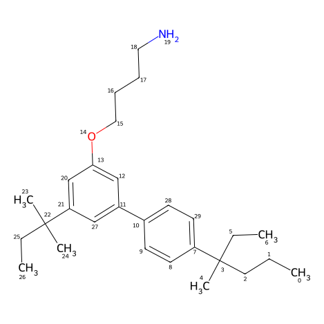 CCCC(C)(CC)c1ccc(-c2cc(OCCCCN)cc(C(C)(C)CC)c2)cc1